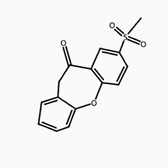 CS(=O)(=O)c1ccc2c(c1)C(=O)Cc1ccccc1O2